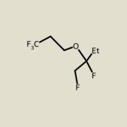 CCC(F)(CF)OCCC(F)(F)F